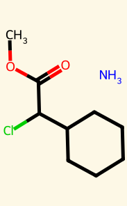 COC(=O)C(Cl)C1CCCCC1.N